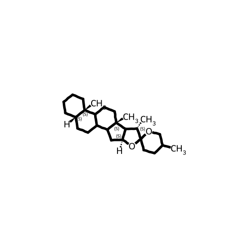 CC1CCC2(OC1)O[C@H]1CC3C4CC[C@@H]5CCCC[C@]5(C)C4CC[C@]3(C)C1[C@@H]2C